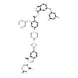 O=C1CCC(N2Cc3ccc(C4CN(C5CCN(c6ccc(C(=O)Nc7n[nH]c8ccc(Cc9cc(F)cc(F)c9)cc78)c(NC7CCOCC7)c6)CC5)C4)cc3C2=O)C(=O)N1